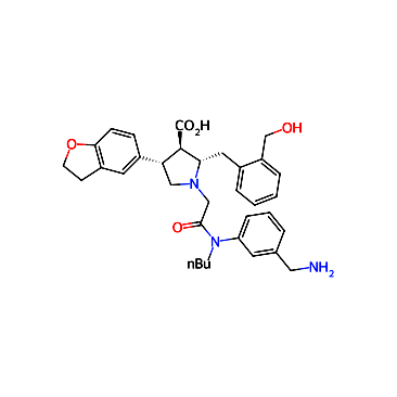 CCCCN(C(=O)CN1C[C@H](c2ccc3c(c2)CCO3)[C@@H](C(=O)O)[C@@H]1Cc1ccccc1CO)c1cccc(CN)c1